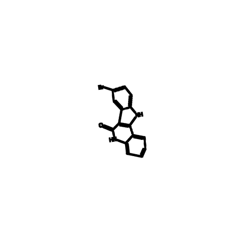 O=c1[nH]c2ccccc2c2[nH]c3ccc(Br)cc3c12